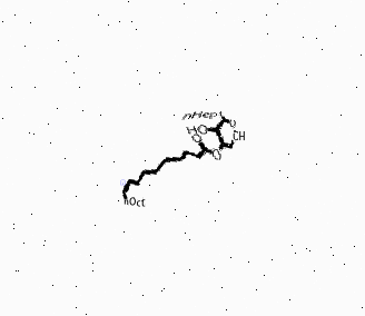 CCCCCCCC/C=C\CCCCCCCC(=O)OC(CO)C(O)C(=O)CCCCCCC